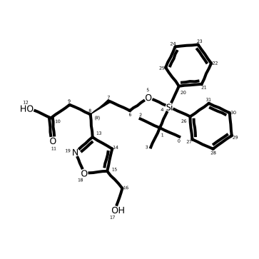 CC(C)(C)[Si](OCC[C@H](CC(=O)O)c1cc(CO)on1)(c1ccccc1)c1ccccc1